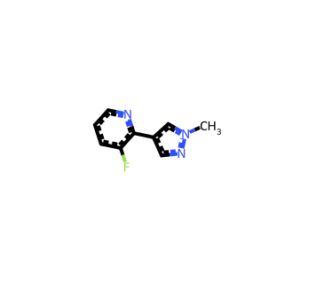 Cn1cc(-c2ncccc2F)cn1